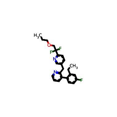 CCCOCC(F)(F)c1ccc(Cc2ncccc2-c2ccc(F)cc2CC)cn1